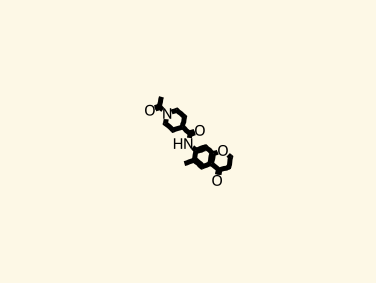 CC(=O)N1CCC(C(=O)Nc2cc3c(cc2C)C(=O)CCO3)CC1